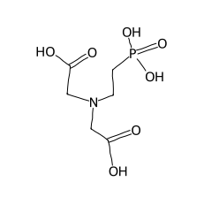 O=C(O)CN(CCP(=O)(O)O)CC(=O)O